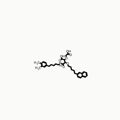 Cc1ccc(CCCCCNC(=O)C(OCCCCCc2ccc3ccccc3c2)C(OCC(=O)O)C(=O)O)cc1C